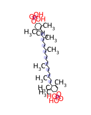 CC1=CC(OP(=O)(O)O)CC(C)(C)C1/C=C/C(C)=C/C=C/C(C)=C/C=C/C=C(C)/C=C/C=C(C)/C=C/C1=C(C)CC(OP(=O)(O)O)CC1(C)C